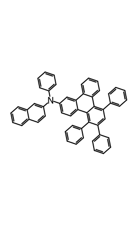 c1ccc(-c2cc(-c3ccccc3)c3c4ccccc4c4cc(N(c5ccccc5)c5ccc6ccccc6c5)ccc4c3c2-c2ccccc2)cc1